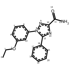 CCOc1cccc(-n2nc(C(N)=O)nc2-c2ccccc2)c1